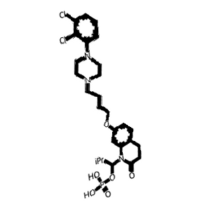 CC(C)C(OP(=O)(O)O)N1C(=O)CCc2ccc(OCCCCN3CCN(c4cccc(Cl)c4Cl)CC3)cc21